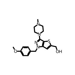 COc1ccc(Cn2nc(N3CCN(C)CC3)c3sc(CO)cc32)cc1